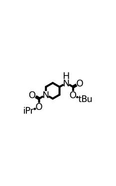 CC(C)OC(=O)N1CCC(NC(=O)OC(C)(C)C)CC1